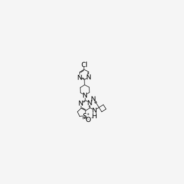 N#CC1(Nc2nc(N3CCC(c4ncc(Cl)cn4)CC3)nc3c2[S@+]([O-])CC3)CCC1